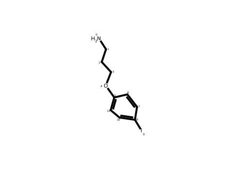 NCCCOc1ccc(I)cc1